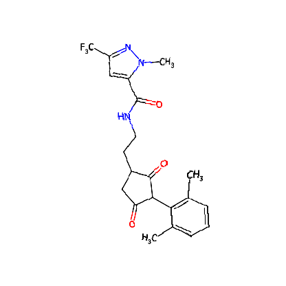 Cc1cccc(C)c1C1C(=O)CC(CCNC(=O)c2cc(C(F)(F)F)nn2C)C1=O